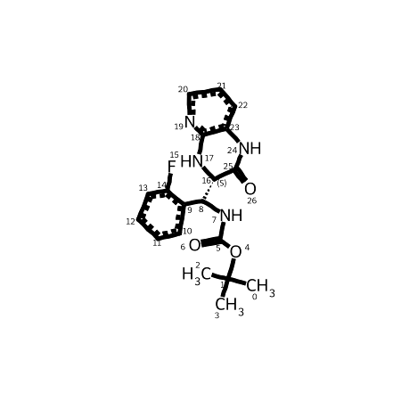 CC(C)(C)OC(=O)NC(c1ccccc1F)[C@@H]1Nc2ncccc2NC1=O